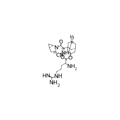 N#C[C@@H]1CC2CC2N1C(=O)[C@@H](N)C12CC3C[C@H](CC(OC(=O)C(N)CCCNC(=N)N)(C3)C1)C2